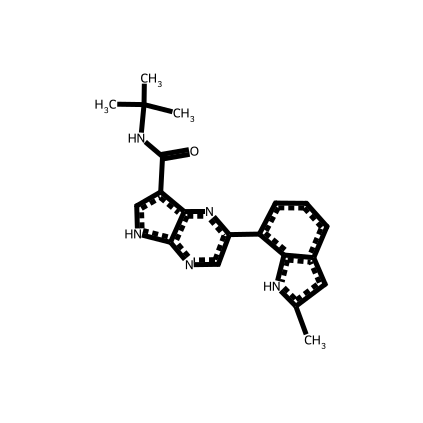 Cc1cc2cccc(-c3cnc4[nH]cc(C(=O)NC(C)(C)C)c4n3)c2[nH]1